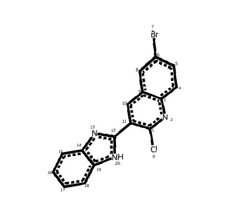 Clc1nc2ccc(Br)cc2cc1-c1nc2ccccc2[nH]1